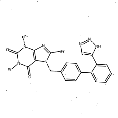 CCCn1c(=O)n(CC)c(=O)c2c1nc(C(C)C)n2Cc1ccc(-c2ccccc2-c2nnn[nH]2)cc1